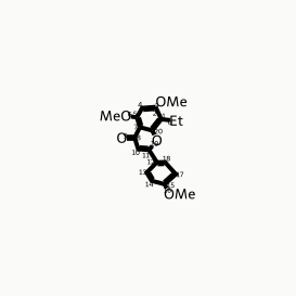 CCc1c(OC)cc(OC)c2c(=O)cc(-c3ccc(OC)cc3)oc12